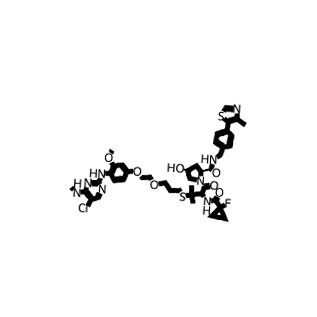 CNc1nc(Nc2ccc(OCCOCCCSC(C)(C)C(NC(=O)C3(F)CC3)C(=O)N3C[C@H](O)C[C@H]3C(=O)NCc3ccc(-c4scnc4C)cc3)cc2OC)ncc1Cl